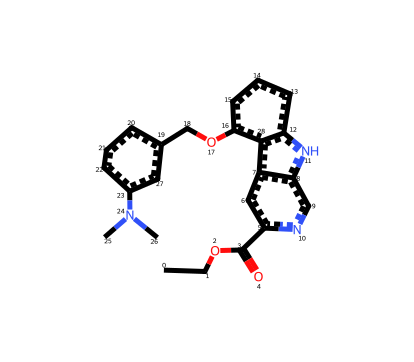 CCOC(=O)c1cc2c(cn1)[nH]c1cccc(OCc3cccc(N(C)C)c3)c12